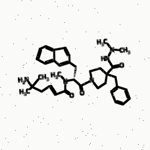 CN(C)NC(=O)C1(Cc2ccccc2)CCN(C(=O)[C@@H](Cc2ccc3ccccc3c2)N(C)C(=O)/C=C/CC(C)(C)N)CC1